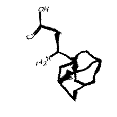 NC(CC(=O)O)C12CC3CC(CC(C3)C1)C2